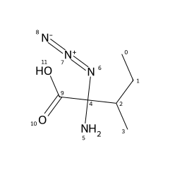 CCC(C)C(N)(N=[N+]=[N-])C(=O)O